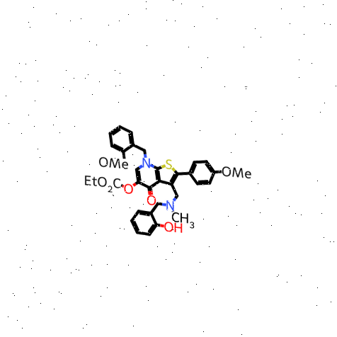 CCOC(=O)Oc1cn(Cc2ccccc2OC)c2sc(-c3ccc(OC)cc3)c(CN(C)Cc3ccccc3O)c2c1=O